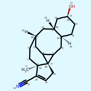 C[C@]12CC[C@H]3CC4C(C[C@@H]5CC[C@H](O)C[C@H]5C3)[C@@]41CC=C2C#N